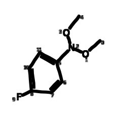 CON(OC)c1ccc(F)cc1